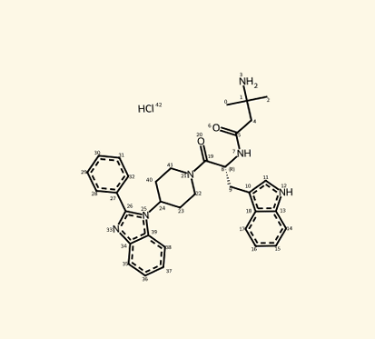 CC(C)(N)CC(=O)N[C@H](Cc1c[nH]c2ccccc12)C(=O)N1CCC(n2c(-c3ccccc3)nc3ccccc32)CC1.Cl